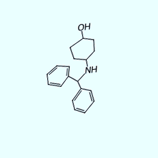 OC1CCC(NC(c2ccccc2)c2ccccc2)CC1